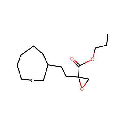 CCCOC(=O)C1(CCC2CCCCCCC2)CO1